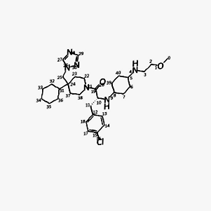 COCCNC1CCC(N[C@H](Cc2ccc(Cl)cc2)C(=O)N2CCC(Cn3cncn3)(C3CCCCC3)CC2)CC1